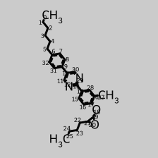 CCCCCCc1ccc(-c2cnc(-c3ccc(OC4OC4CCCC)c(C)c3)nc2)cc1